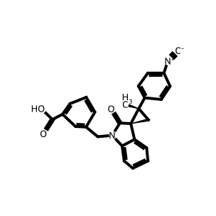 [C-]#[N+]c1ccc([C@]2(C)C[C@@]23C(=O)N(Cc2cccc(C(=O)O)c2)c2ccccc23)cc1